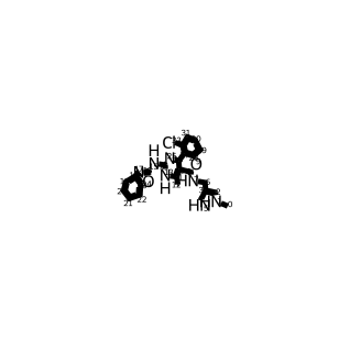 CN/C=C(\C=N)CNC(=O)C1=C(C)NC(Nc2nc3ccccc3o2)=NC1c1ccccc1Cl